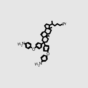 CC(C)CCCC(C)C1CCC2C3C=CC4CC(c5ccc(Oc6ccc(N)cc6)cc5)(c5ccc(Oc6ccc(N)cc6)cc5)CCC4(I)C3CCC12C